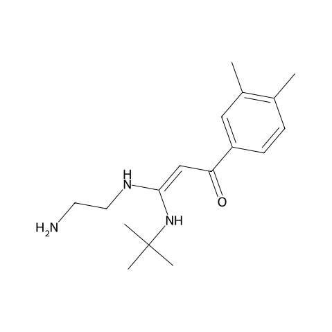 Cc1ccc(C(=O)C=C(NCCN)NC(C)(C)C)cc1C